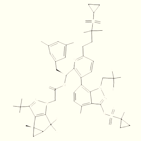 CC1(S(=O)(=O)Nc2nn(CC(F)(F)F)c3c(-c4ccc(CCC(C)(C)S(=O)(=O)C5CC5)nc4[C@H](Cc4cc(F)cc(F)c4)NC(=O)Cn4nc(C(F)(F)F)c5c4C(F)(F)C4C[C@H]54)ccc(Cl)c23)CC1